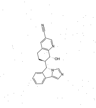 N#Cc1cnc2c(c1)CC[C@H]([C@H]1c3ccccc3-c3cncn31)[C@H]2O